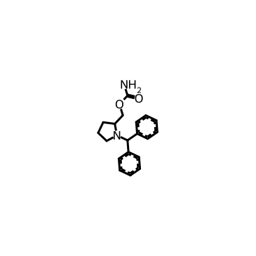 NC(=O)OCC1CCCN1C(c1ccccc1)c1ccccc1